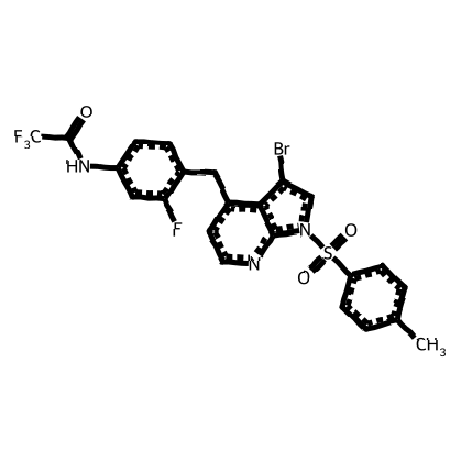 Cc1ccc(S(=O)(=O)n2cc(Br)c3c(Cc4ccc(NC(=O)C(F)(F)F)cc4F)ccnc32)cc1